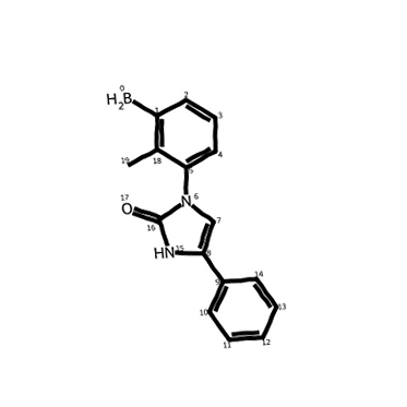 Bc1cccc(-n2cc(-c3ccccc3)[nH]c2=O)c1C